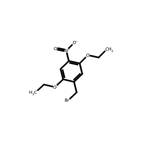 CCOc1cc([N+](=O)[O-])c(OCC)cc1CBr